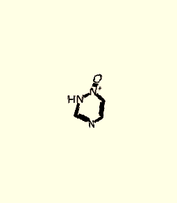 O=[n+]1ccnc[nH]1